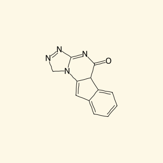 O=C1N=C2N=NCN2C2=Cc3ccccc3C12